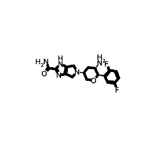 NC(=O)c1nc2c([nH]1)CN([C@H]1CO[C@H](c3cc(F)ccc3F)[C@@H](N)C1)C2